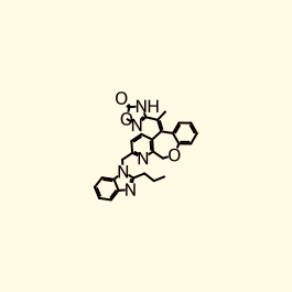 CCCc1nc2ccccc2n1Cc1ccc2c(n1)COc1ccccc1/C2=C(\C)c1noc(=O)[nH]1